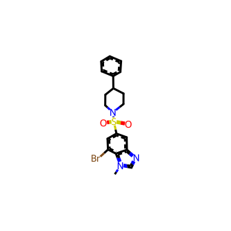 Cn1cnc2cc(S(=O)(=O)N3CCC(c4ccccc4)CC3)cc(Br)c21